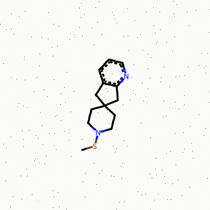 CSN1CCC2(CC1)Cc1cccnc1C2